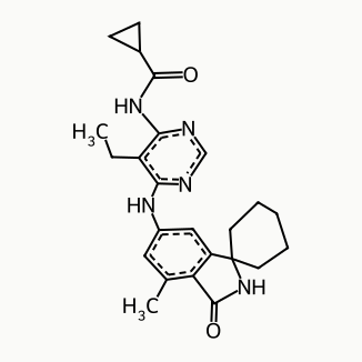 CCc1c(NC(=O)C2CC2)ncnc1Nc1cc(C)c2c(c1)C1(CCCCC1)NC2=O